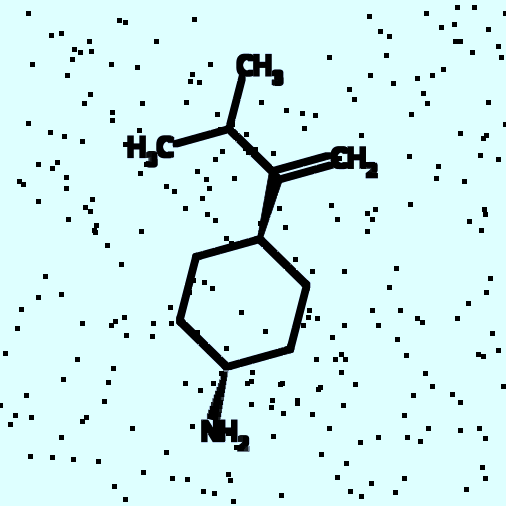 C=C(C(C)C)[C@H]1CC[C@H](N)CC1